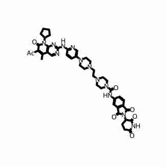 CC(=O)c1c(C)c2cnc(Nc3ccc(N4CCN(CCN5CCN(C(=O)Nc6ccc7c(c6)C(=O)N(C6CCC(=O)NC6=O)C7=O)CC5)CC4)cn3)nc2n(C2CCCC2)c1=O